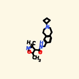 CC1=NOC(C)C1C(=O)NCc1ccc2c(c1)CCN(C1CCC1)CC2